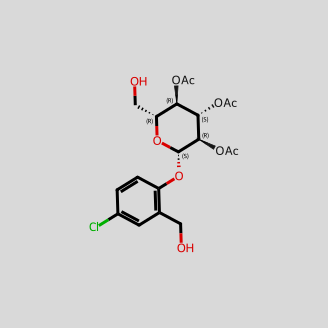 CC(=O)O[C@@H]1[C@@H](OC(C)=O)[C@H](Oc2ccc(Cl)cc2CO)O[C@H](CO)[C@H]1OC(C)=O